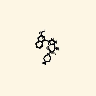 COc1cc2ccccc2c(-c2nnc(N[C@H](C)C(=O)N3CCC4(CC3)CC4)o2)n1